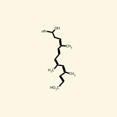 CCCC(O)CC=C(C)C=CC=C(C)C=C(C)C=CC(=O)O